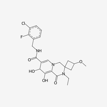 CCN1C(=O)C2=C(O)C(O)C(C(=O)NCc3cccc(Cl)c3F)=CN2CC12CC(OC)C2